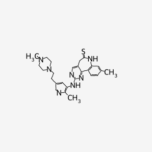 Cc1ccc2c(c1)NC(=S)Cc1cnc(Nc3cc(CCN4CCN(C)CC4)cnc3C)nc1-2